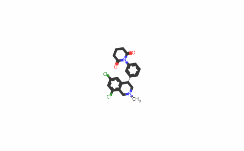 CN1Cc2c(Cl)cc(Cl)cc2[C@H](c2cccc(N3C(=O)CCCC3=O)c2)C1